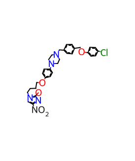 O=[N+]([O-])c1cn2c(n1)OC(COc1ccc(N3CCN(Cc4ccc(COc5ccc(Cl)cc5)cc4)CC3)cc1)CC2